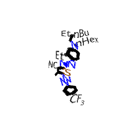 CCCCCCN(CC(CC)CCCC)c1ccc(N=Nc2sc(N=Nc3ccc(C(F)(F)F)cc3)c(C)c2C#N)c(CC)c1